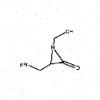 CCCCC1C(=O)N1CO